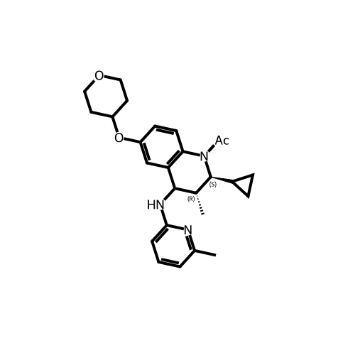 CC(=O)N1c2ccc(OC3CCOCC3)cc2C(Nc2cccc(C)n2)[C@@H](C)[C@@H]1C1CC1